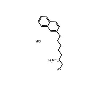 Cl.N[C@@H](CS)CCCCOc1ccc2ccccc2c1